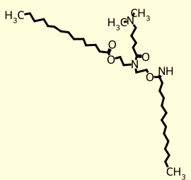 CCCCCCCCCCCCCC(=N)OCCN(CCOC(=O)CCCCCCCCCCCCC)C(=O)CCCCN(C)C